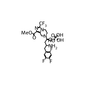 COC(=O)c1nc(C(F)(F)F)n2c1CN(C(=O)CC(N)Cc1cc(F)c(F)cc1F)CC2.O=P(O)(O)O